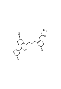 COC(=O)Cc1ccc(Br)cc1COCCc1cc(C#N)ccc1C(O)c1cccc(Br)n1